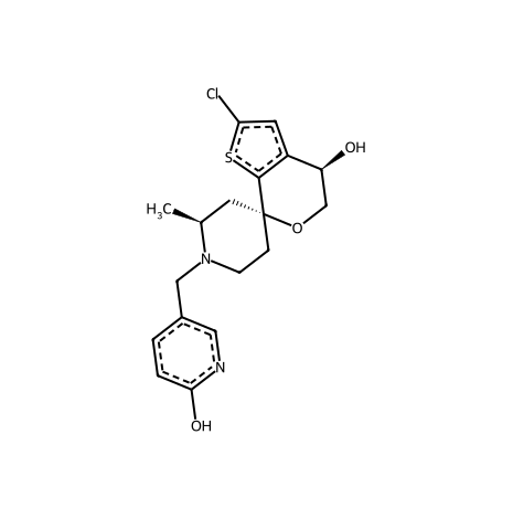 C[C@H]1C[C@@]2(CCN1Cc1ccc(O)nc1)OC[C@H](O)c1cc(Cl)sc12